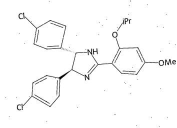 COc1ccc(C2=N[C@@H](c3ccc(Cl)cc3)[C@H](c3ccc(Cl)cc3)N2)c(OC(C)C)c1